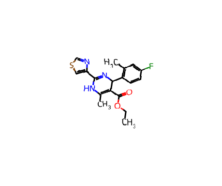 CCOC(=O)C1=C(C)NC(c2cscn2)=NC1c1ccc(F)cc1C